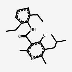 CCc1cccc(CC)c1NC(=O)c1c(C)nc(C)c(CC(C)C)c1Cl